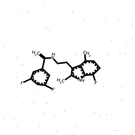 C=C(NCCc1c(C)[nH]c2c(F)ccc(C)c12)c1cc(F)cc(F)c1